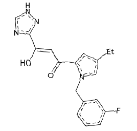 CCc1cc(C(=O)C=C(O)c2nc[nH]n2)n(Cc2cccc(F)c2)c1